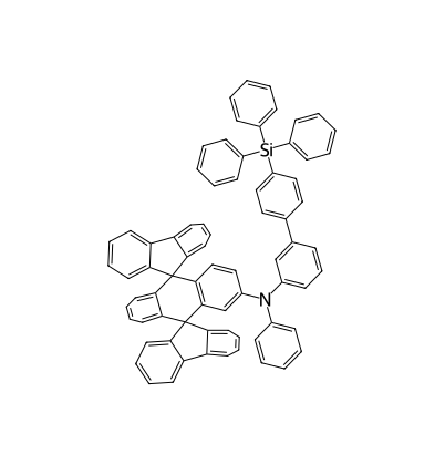 c1ccc(N(c2cccc(-c3ccc([Si](c4ccccc4)(c4ccccc4)c4ccccc4)cc3)c2)c2ccc3c(c2)C2(c4ccccc4-c4ccccc42)c2ccccc2C32c3ccccc3-c3ccccc32)cc1